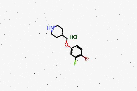 Cl.Fc1cc(OCC2CCNCC2)ccc1Br